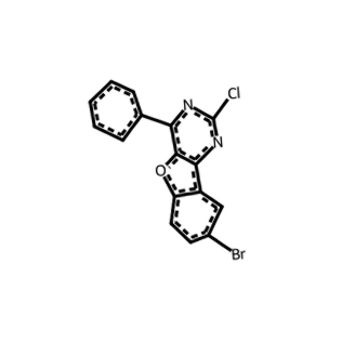 Clc1nc(-c2ccccc2)c2oc3ccc(Br)cc3c2n1